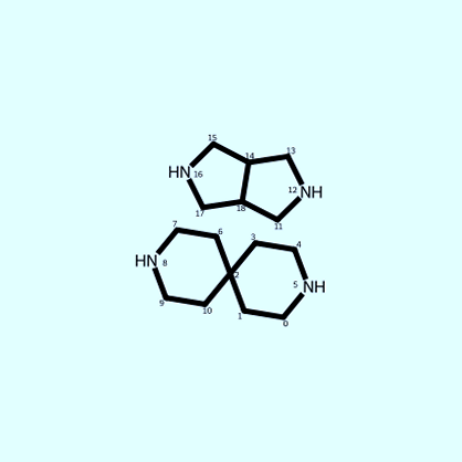 C1CC2(CCN1)CCNCC2.C1NCC2CNCC12